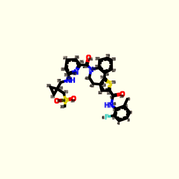 Cc1cccc(F)c1NC(=O)c1cc2c(s1)-c1ccccc1N(C(=O)c1cccc(NCC3(CS(C)(=O)=O)CC3)n1)CC2